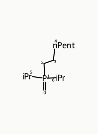 C=P(CCCCCCC)(C(C)C)C(C)C